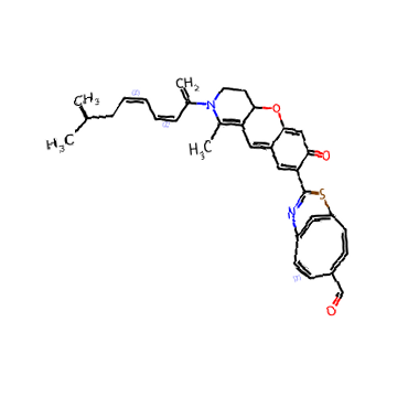 C=C(/C=C\C=C/CC(C)C)N1CCC2OC3=CC(=O)C(C4=NC5=C=C(C=C=C(C=O)/C=C\5)S4)=CC3=CC2=C1C